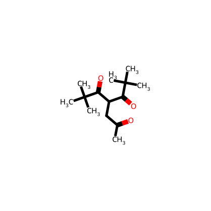 CC(=O)CC(C(=O)C(C)(C)C)C(=O)C(C)(C)C